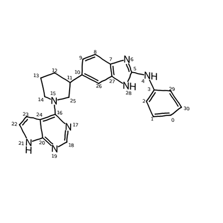 c1ccc(Nc2nc3ccc(C4CCCN(c5ncnc6[nH]ccc56)C4)cc3[nH]2)cc1